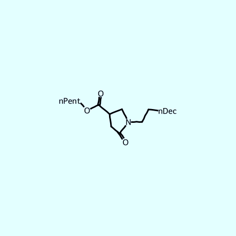 CCCCCCCCCCCCN1CC(C(=O)OCCCCC)CC1=O